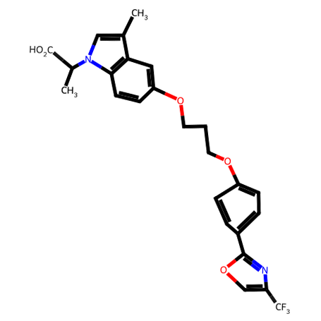 Cc1cn(C(C)C(=O)O)c2ccc(OCCCOc3ccc(-c4nc(C(F)(F)F)co4)cc3)cc12